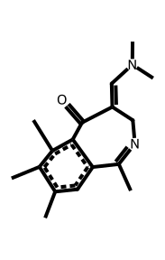 CC1=NC/C(=C\N(C)C)C(=O)c2c1cc(C)c(C)c2C